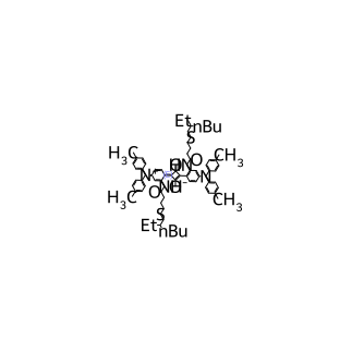 CCCCC(CC)CSCCCC(=O)NC1=CC(=[N+](c2ccc(C)cc2)c2ccc(C)cc2)C=C/C1=C1\C(=O)C(c2ccc(N(c3ccc(C)cc3)c3ccc(C)cc3)cc2NC(=O)CCCSCC(CC)CCCC)=C1[O-]